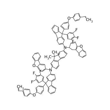 C=Cc1ccc(Oc2ccc(C3(c4cc(F)c(F)c(F)c4)c4ccccc4-c4ccc(N(c5ccc6c(c5)C(C)(C)c5cc(N(c7ccc8c(c7)C(c7ccc(Oc9ccc(C=C)cc9)cc7)(c7cc(F)c(F)c(F)c7)c7ccccc7-8)C7C=Cc8oc9ccccc9c8C7)ccc5-6)c5ccc6oc7ccccc7c6c5)cc43)cc2)cc1